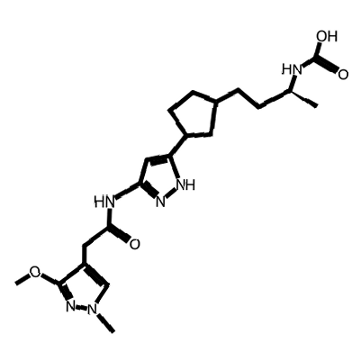 COc1nn(C)cc1CC(=O)Nc1cc(C2CCC(CC[C@H](C)NC(=O)O)C2)[nH]n1